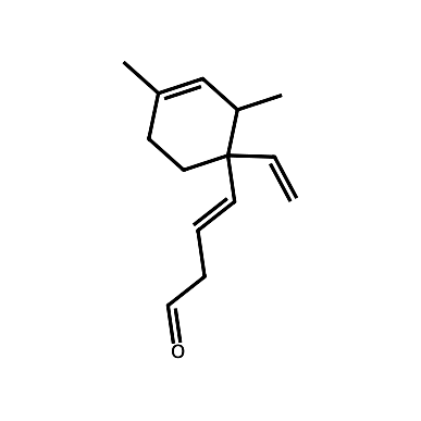 C=CC1(C=CCC=O)CCC(C)=CC1C